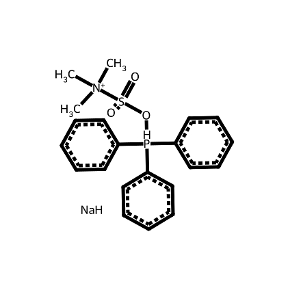 C[N+](C)(C)S(=O)(=O)O[PH](c1ccccc1)(c1ccccc1)c1ccccc1.[NaH]